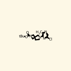 Cc1ncc(Cl)nc1N1CCC2(CN(C(=O)OC(C)(C)C)C2)C1